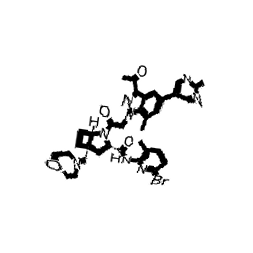 CC(=O)c1nn(CC(=O)N2[C@H](C(=O)Nc3nc(Br)ccc3C)C[C@@]3(CN4CCOCC4)C=C[C@@H]23)c2c(C)cc(-c3cnc(C)nc3)cc12